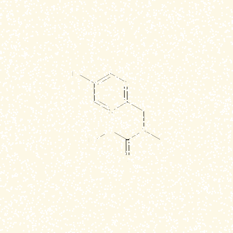 CN(Cc1ncc(Br)cn1)C(=O)OC(C)(C)C